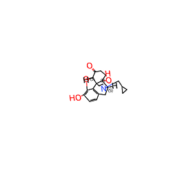 O=C1CC[C@]2(O)[C@@H]3Cc4ccc(O)c5c4C2(CCN3CC2CC2)[C@@H]1O5